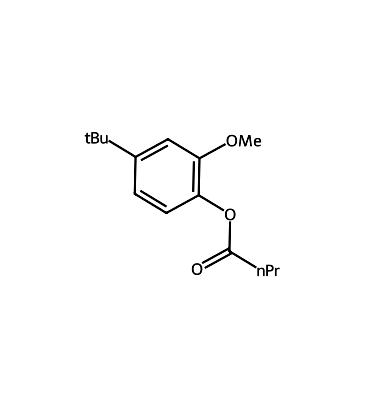 CCCC(=O)Oc1ccc(C(C)(C)C)cc1OC